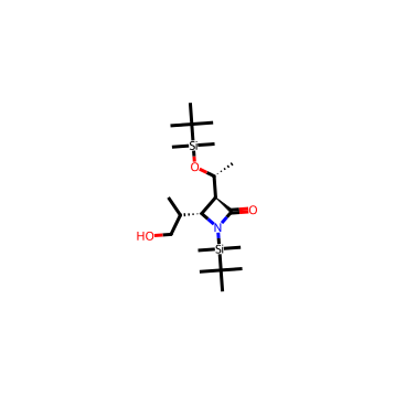 CC(CO)[C@@H]1[C@@H]([C@@H](C)O[Si](C)(C)C(C)(C)C)C(=O)N1[Si](C)(C)C(C)(C)C